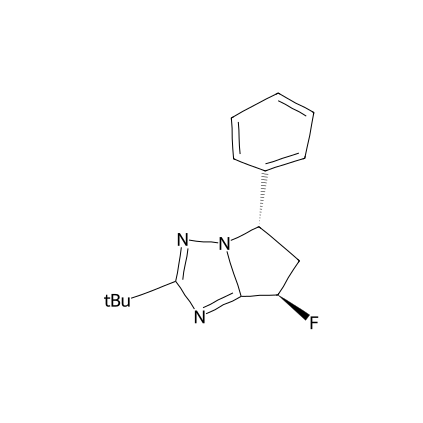 CC(C)(C)c1nc2n(n1)[C@H](c1ccccc1)C[C@H]2F